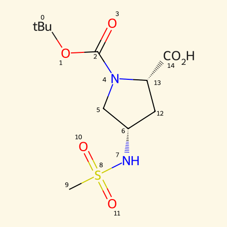 CC(C)(C)OC(=O)N1C[C@@H](NS(C)(=O)=O)C[C@H]1C(=O)O